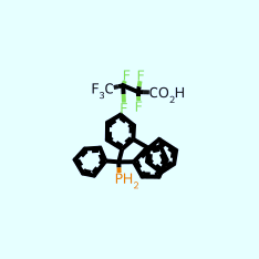 O=C(O)C(F)(F)C(F)(F)C(F)(F)F.PC(c1ccccc1)(c1ccccc1)c1ccccc1-c1ccccc1